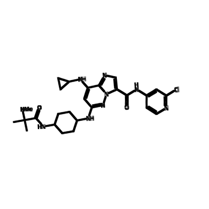 CNC(C)(C)C(=O)NC1CCC(Nc2cc(NC3CC3)c3ncc(C(=O)Nc4ccnc(Cl)c4)n3n2)CC1